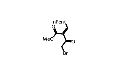 CCCCCC=C(C(=O)CBr)C(=O)OC